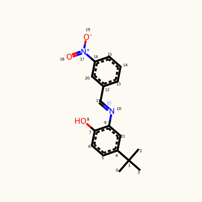 CC(C)(C)c1ccc(O)c(/N=C/c2cccc([N+](=O)[O-])c2)c1